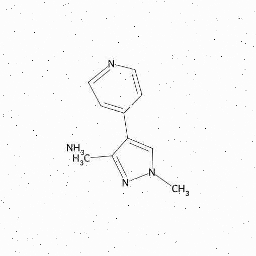 Cc1nn(C)cc1-c1ccncc1.N